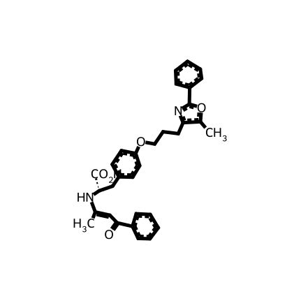 C/C(=C\C(=O)c1ccccc1)N[C@@H](Cc1ccc(OCCCc2nc(-c3ccccc3)oc2C)cc1)C(=O)O